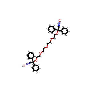 [O-][N+]#CC(OCCOCCOCCOCCOC(C#[N+][O-])(c1ccccc1)c1ccccc1)(c1ccccc1)c1ccccc1